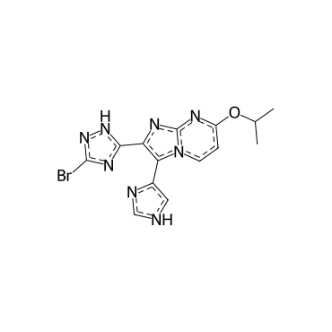 CC(C)Oc1ccn2c(-c3c[nH]cn3)c(-c3nc(Br)n[nH]3)nc2n1